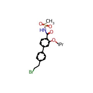 CC(C)Oc1cc(-c2ccc(CCBr)cc2)ccc1C(=O)NS(C)(=O)=O